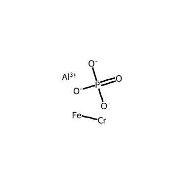 O=P([O-])([O-])[O-].[Al+3].[Cr][Fe]